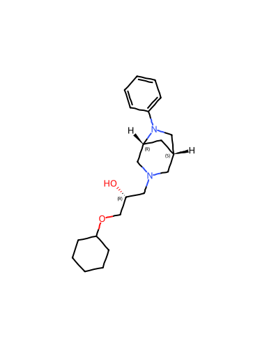 O[C@@H](COC1CCCCC1)CN1C[C@@H]2C[C@H](C1)N(c1ccccc1)C2